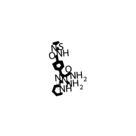 NC(=O)c1c(-c2ccc(C(=O)Nc3nccs3)cc2)nc([C@@H]2CCCCN2)n1N